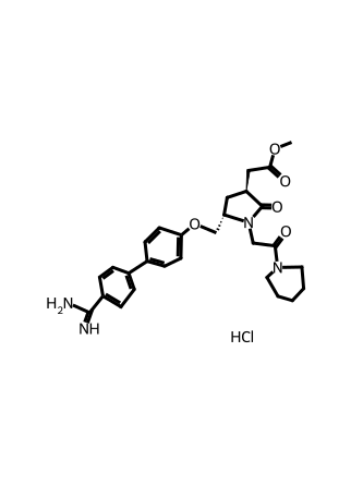 COC(=O)C[C@@H]1C[C@@H](COc2ccc(-c3ccc(C(=N)N)cc3)cc2)N(CC(=O)N2CCCCC2)C1=O.Cl